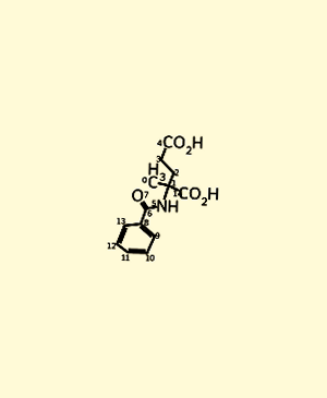 CC(CCC(=O)O)(NC(=O)c1ccccc1)C(=O)O